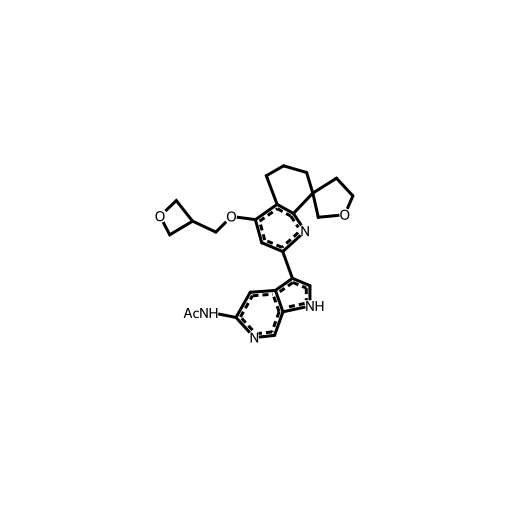 CC(=O)Nc1cc2c(-c3cc(OCC4COC4)c4c(n3)C3(CCC4)CCOC3)c[nH]c2cn1